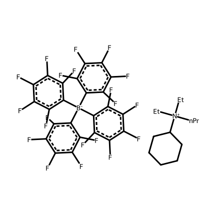 CCC[N+](CC)(CC)C1CCCCC1.Fc1c(F)c(F)c([B-](c2c(F)c(F)c(F)c(F)c2F)(c2c(F)c(F)c(F)c(F)c2F)c2c(F)c(F)c(F)c(F)c2F)c(F)c1F